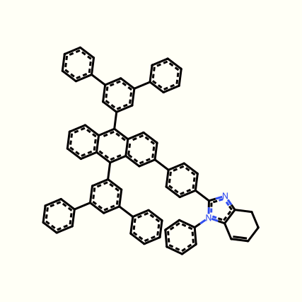 C1=Cc2c(nc(-c3ccc(-c4ccc5c(-c6cc(-c7ccccc7)cc(-c7ccccc7)c6)c6ccccc6c(-c6cc(-c7ccccc7)cc(-c7ccccc7)c6)c5c4)cc3)n2-c2ccccc2)CC1